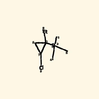 CCC1([Si](C)(C)C)CC1Cl